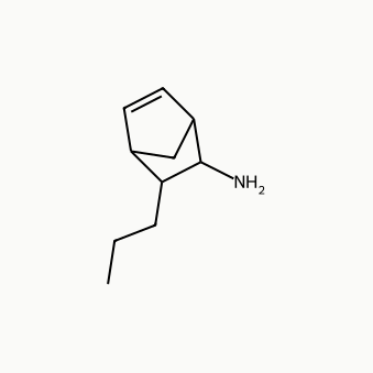 CCCC1C2C=CC(C2)C1N